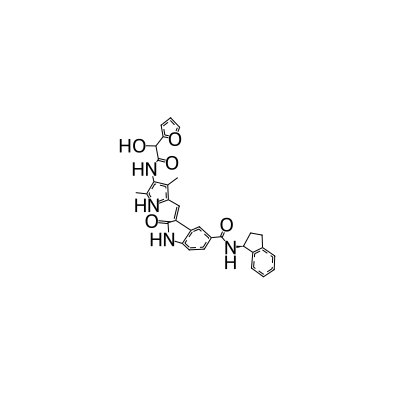 Cc1[nH]c(/C=C2\C(=O)Nc3ccc(C(=O)N[C@H]4CCc5ccccc54)cc32)c(C)c1NC(=O)C(O)c1ccco1